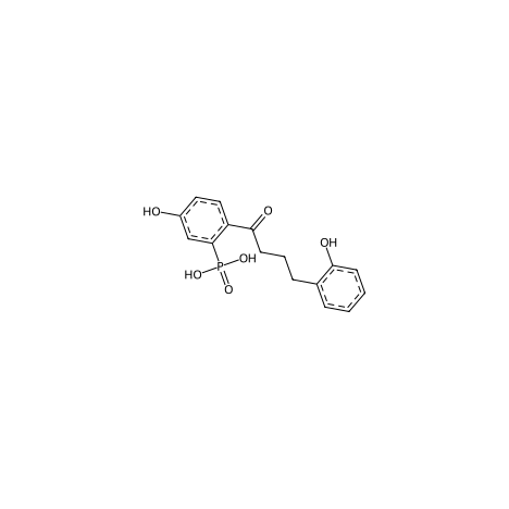 O=C(CCCc1ccccc1O)c1ccc(O)cc1P(=O)(O)O